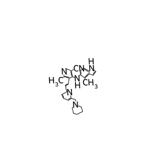 Cc1ncc(C#N)c(Nc2ccc3[nH]ccc3c2C)c1C=Cc1cccc(CN2CCCCC2)n1